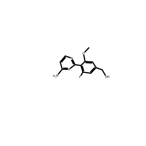 COc1cc(CO)cc(F)c1-c1nccc(N)n1